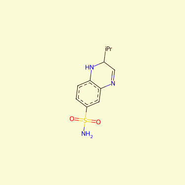 CC(C)C1C=Nc2cc(S(N)(=O)=O)ccc2N1